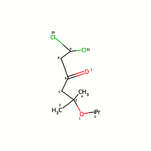 CC(C)OC(C)(C)CC(=O)CC(Cl)Cl